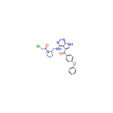 O=C(c1ccc(Oc2ccccc2)cc1)c1c[nH]c2ncnc(NCC3CCCN3C(=O)CBr)c12